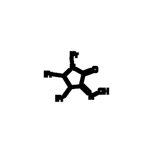 CC(C)C1/C(=N/O)C(=O)N(C(C)C)C1C(C)C